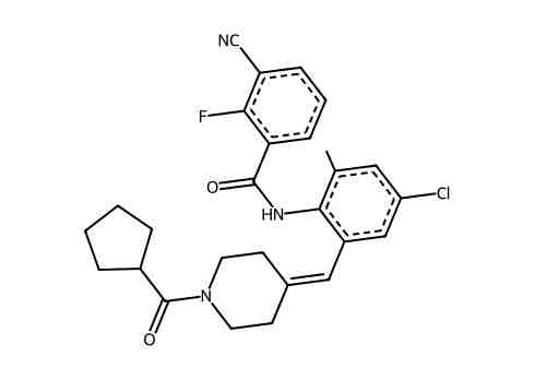 Cc1cc(Cl)cc(C=C2CCN(C(=O)C3CCCC3)CC2)c1NC(=O)c1cccc(C#N)c1F